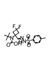 Cc1ccc(S(=O)(=O)NN=CC2(N(C(=O)O)C(C)(C)C)CC(F)(F)C2)cc1